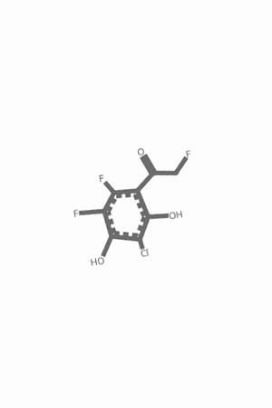 O=C(CF)c1c(O)c(Cl)c(O)c(F)c1F